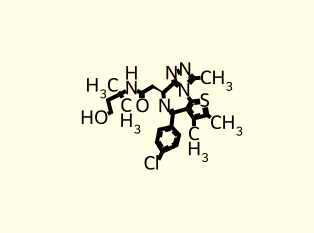 Cc1sc2c(c1C)C(c1ccc(Cl)cc1)=N[C@@H](CC(=O)NC(C)(C)CCO)c1nnc(C)n1-2